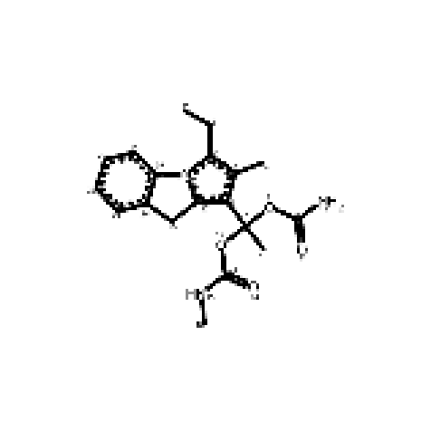 CCc1c(C)c(C(C)(OC(N)=O)OC(=O)NC)c2n1-c1ccccc1C2